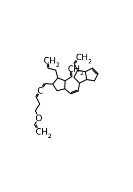 C=CCC1C(C=C=CCCOC=C)CC(/C=C\C2CC(C=C)C3C=CCC23)C1C=C